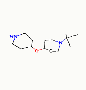 CC(C)(C)N1CCC(OC2CCNCC2)CC1